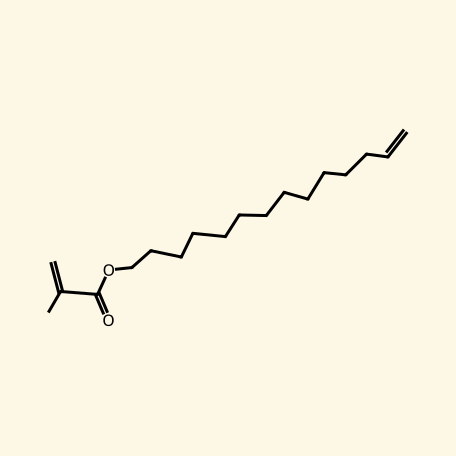 C=CCCCCCCCCCCCCOC(=O)C(=C)C